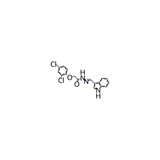 O=C(COc1ccc(Cl)cc1Cl)N/N=C/c1c[nH]c2ccccc12